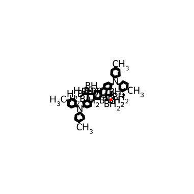 BC(B)(B)C1(C(B)(B)B)c2cc(N(c3ccc(C)cc3)c3ccc(C)cc3)ccc2-c2cc3c(cc21)-c1ccc(N(c2ccc(C)cc2)c2ccc(C)cc2)cc1C3(C(B)(B)B)C(B)(B)B